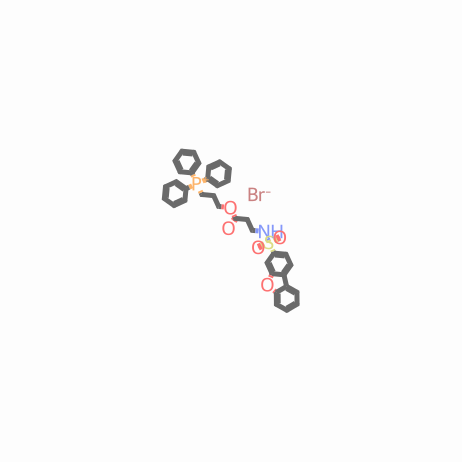 O=C(CCNS(=O)(=O)c1ccc2c(c1)oc1ccccc12)OCCC[P+](c1ccccc1)(c1ccccc1)c1ccccc1.[Br-]